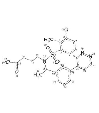 Cc1c(Cl)cccc1S(=O)(=O)N(CCCC(=O)O)C(C)c1cccc(-c2ccnnc2)c1